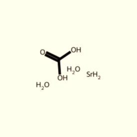 O.O.O=C(O)O.[SrH2]